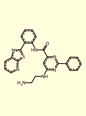 NCCNc1cc(C(=O)Nc2ccccc2-c2nc3cccnc3s2)nc(-c2ccccc2)n1